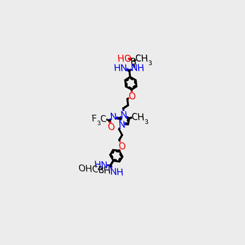 CB(O)NC(=N)c1ccc(OCCCn2c(C)cn(CCCOc3ccc(C(=N)NBC=O)cc3)/c2=N\C(=O)C(F)(F)F)cc1